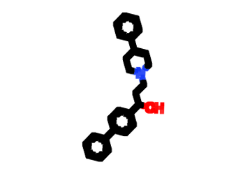 OC(CCN1CC=C(c2ccccc2)CC1)c1ccc(-c2ccccc2)cc1